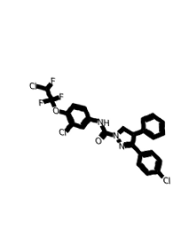 O=C(Nc1ccc(OC(F)(F)C(F)Cl)c(Cl)c1)N1CC(c2ccccc2)C(c2ccc(Cl)cc2)=N1